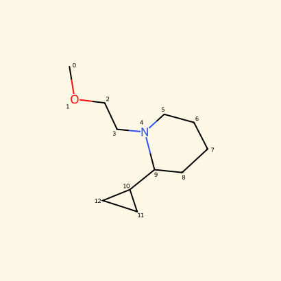 COCCN1CCCCC1C1CC1